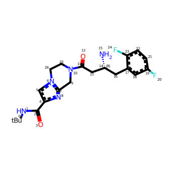 CC(C)(C)NC(=O)c1cn2c(n1)CN(C(=O)C[C@H](N)Cc1cc(F)ccc1F)CC2